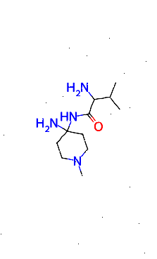 CC(C)C(N)C(=O)NC1(N)CCN(C)CC1